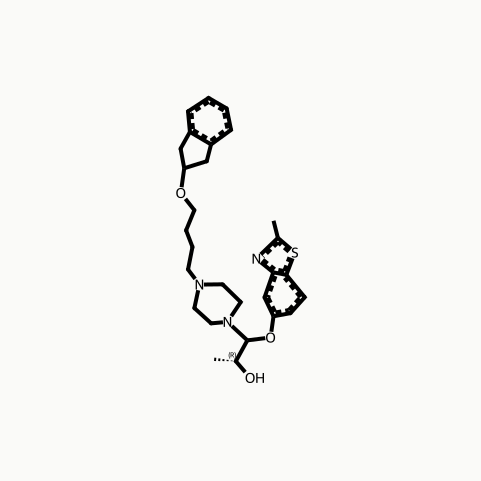 Cc1nc2cc(OC([C@@H](C)O)N3CCN(CCCCOC4Cc5ccccc5C4)CC3)ccc2s1